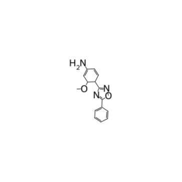 COC1C=C(N)C=CC1c1noc(-c2ccccc2)n1